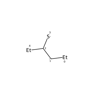 CC[CH]C([S])CC